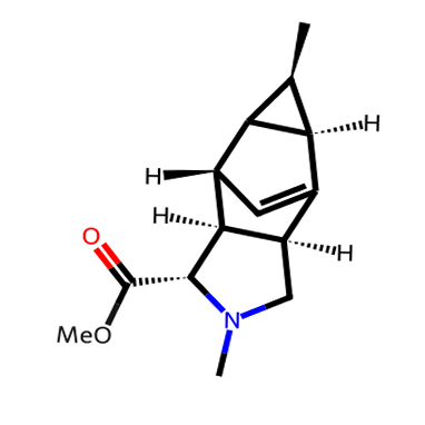 COC(=O)[C@@H]1[C@@H]2[C@H](CN1C)C1=C[C@H]2C2[C@@H](C)[C@@H]12